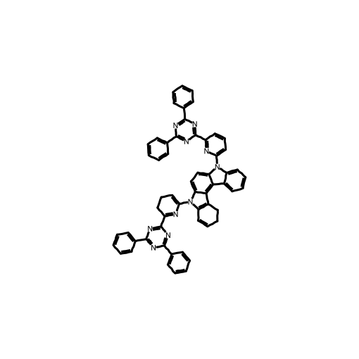 C1=Cc2c(c3c4c5ccccc5n(-c5cccc(-c6nc(-c7ccccc7)nc(-c7ccccc7)n6)n5)c4ccc3n2C2=CCCC(c3nc(-c4ccccc4)nc(-c4ccccc4)n3)=N2)CC1